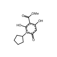 COC(=O)c1c(O)cc(=O)n(C2CCCC2)c1O